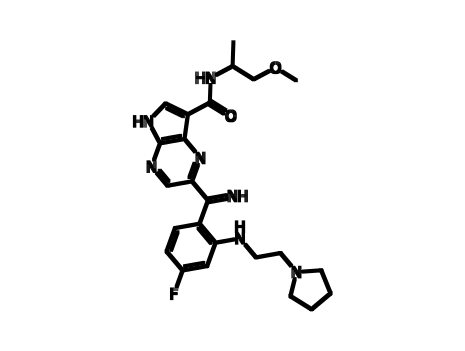 COCC(C)NC(=O)c1c[nH]c2ncc(C(=N)c3ccc(F)cc3NCCN3CCCC3)nc12